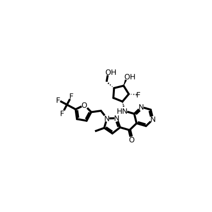 Cc1cc(C(=O)c2cncnc2N[C@@H]2C[C@H](CO)[C@@H](O)[C@@H]2F)nn1Cc1ccc(C(F)(F)F)o1